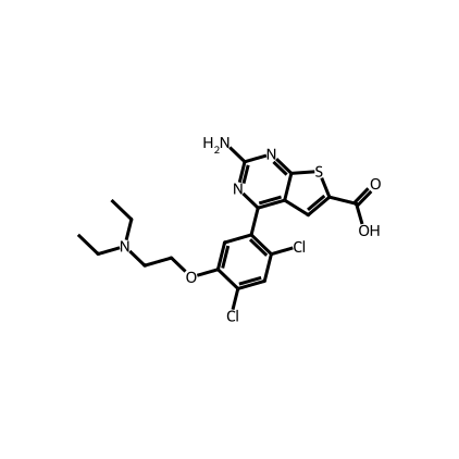 CCN(CC)CCOc1cc(-c2nc(N)nc3sc(C(=O)O)cc23)c(Cl)cc1Cl